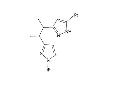 CC(C)c1cc(C(C)C(C)c2ccn(C(C)C)n2)n[nH]1